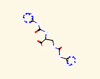 O=C(NCC(NC(=O)Nc1nnn[nH]1)C(=O)O)Nc1nnn[nH]1